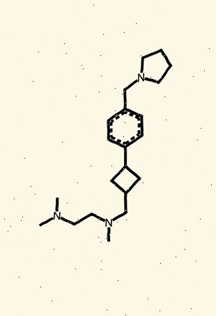 CN(C)CCN(C)CC1CC(c2ccc(CN3CCCC3)cc2)C1